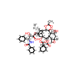 CC(=O)O[C@H]1C(=O)[C@@]2(C)[C@H]([C@H](OC(=O)c3ccccc3)[C@]3(O)C[C@H](OC(=O)[C@H](O)[C@@H](NC(=O)c4ccccc4)c4ccccc4)C(C)=C1C3(C)C)[C@]1(OC(C)=O)CO[C@@H]1C[C@@H]2O.[H+]